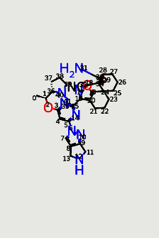 C[C@H](Oc1cc(-n2cc3c(n2)CNC3)nc(-c2noc3c2CCC[C@@]32CCCc3sc(N)c(C#N)c32)n1)[C@@H]1CCCN1C